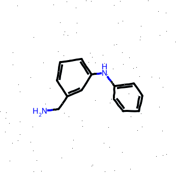 NCc1cccc(Nc2[c]cccc2)c1